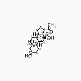 CC(=O)[C@H]1CC[C@]2(O)[C@@H]3CC[C@@H]4C[C@@H](O)CC[C@]4(C)[C@H]3C[C@@H](O)[C@]12C